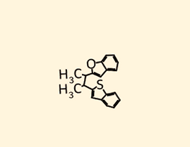 CC(c1cc2ccccc2o1)C(C)c1cc2ccccc2s1